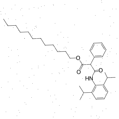 CCCCCCCCCCCCOC(=O)C(C(=O)Nc1c(C(C)C)cccc1C(C)C)c1ccccc1